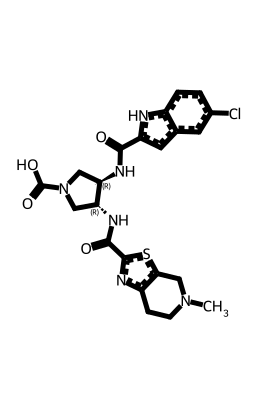 CN1CCc2nc(C(=O)N[C@@H]3CN(C(=O)O)C[C@H]3NC(=O)c3cc4cc(Cl)ccc4[nH]3)sc2C1